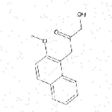 COc1ccc2ccccc2c1CC(=O)CO